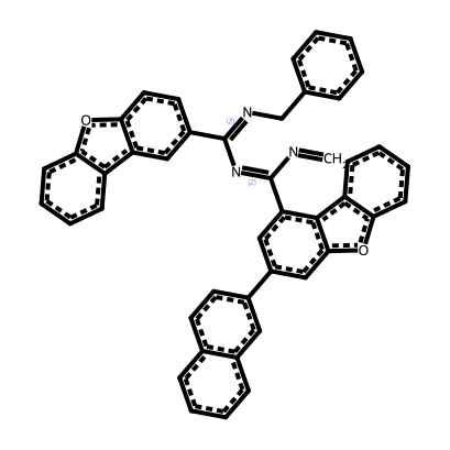 C=N/C(=N\C(=N/Cc1ccccc1)c1ccc2oc3ccccc3c2c1)c1cc(-c2ccc3ccccc3c2)cc2oc3ccccc3c12